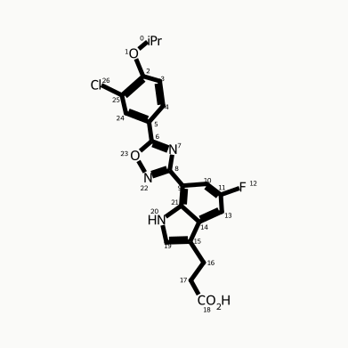 CC(C)Oc1ccc(-c2nc(-c3cc(F)cc4c(CCC(=O)O)c[nH]c34)no2)cc1Cl